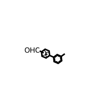 Cc1cccc(C23CCC(C=O)(CC2)OC3)c1